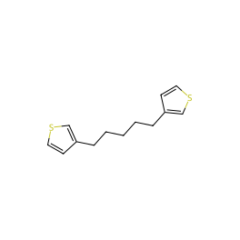 c1cc(CCCCCc2ccsc2)cs1